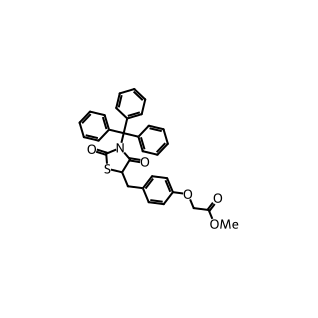 COC(=O)COc1ccc(CC2SC(=O)N(C(c3ccccc3)(c3ccccc3)c3ccccc3)C2=O)cc1